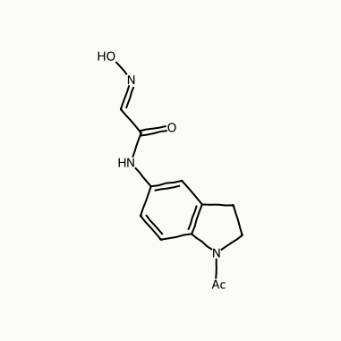 CC(=O)N1CCc2cc(NC(=O)C=NO)ccc21